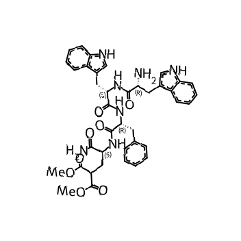 COC(=O)C(C[C@H](NC(=O)[C@@H](Cc1ccccc1)NC(=O)[C@H](Cc1c[nH]c2ccccc12)NC(=O)[C@H](N)Cc1c[nH]c2ccccc12)C(N)=O)C(=O)OC